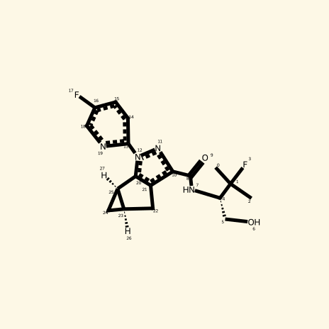 CC(C)(F)[C@H](CO)NC(=O)c1nn(-c2ccc(F)cn2)c2c1C[C@H]1C[C@@H]21